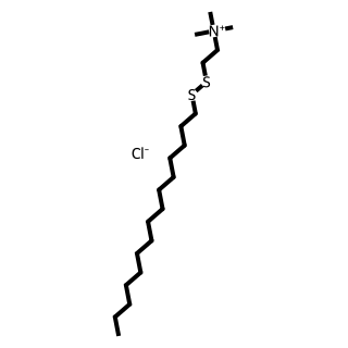 CCCCCCCCCCCCCCCSSCC[N+](C)(C)C.[Cl-]